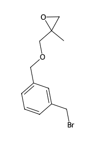 CC1(COCc2cccc(CBr)c2)CO1